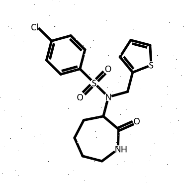 O=C1NCCCCC1N(Cc1cccs1)S(=O)(=O)c1ccc(Cl)cc1